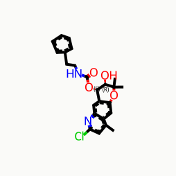 Cc1cc(Cl)nc2cc3c(cc12)OC(C)(C)[C@H](O)[C@H]3OC(=O)NCCc1ccccc1